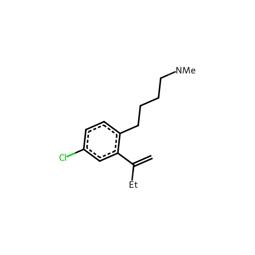 C=C(CC)c1cc(Cl)ccc1CCCCNC